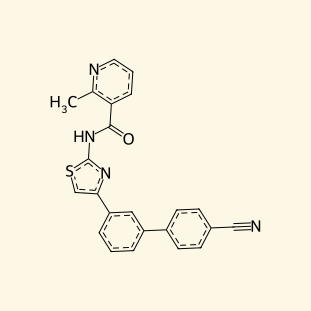 Cc1ncccc1C(=O)Nc1nc(-c2cccc(-c3ccc(C#N)cc3)c2)cs1